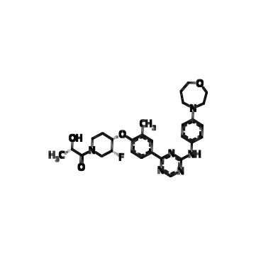 Cc1cc(-c2ncnc(Nc3ccc(N4CCCOCC4)cc3)n2)ccc1O[C@H]1CCN(C(=O)[C@H](C)O)C[C@H]1F